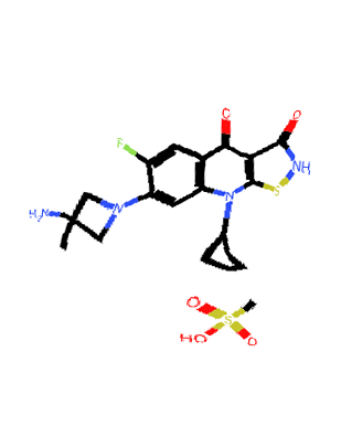 CC1(N)CN(c2cc3c(cc2F)c(=O)c2c(=O)[nH]sc2n3C2CC2)C1.CS(=O)(=O)O